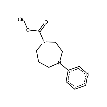 CC(C)(C)OC(=O)N1CCCN(c2cccnc2)CC1